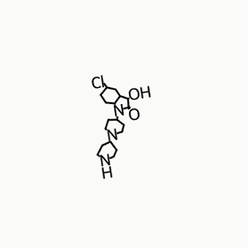 O=C1C(O)C2CC(Cl)CCC2N1C1CCN(C2CCNCC2)CC1